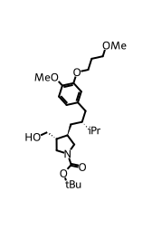 COCCCOc1cc(C[C@@H](C[C@H]2CN(C(=O)OC(C)(C)C)C[C@@H]2CO)C(C)C)ccc1OC